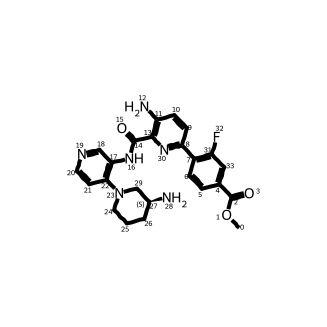 COC(=O)c1ccc(-c2ccc(N)c(C(=O)Nc3cnccc3N3CCC[C@H](N)C3)n2)c(F)c1